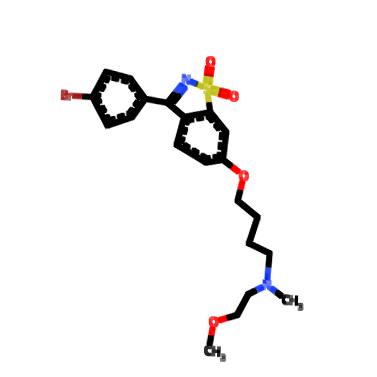 COCCN(C)CCCCOc1ccc2c(c1)S(=O)(=O)N=C2c1ccc(Br)cc1